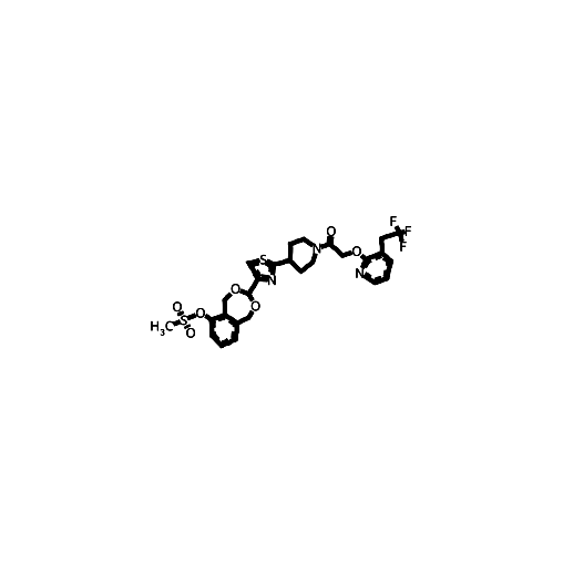 CS(=O)(=O)Oc1cccc2c1COC(c1csc(C3CCN(C(=O)COc4ncccc4CC(F)(F)F)CC3)n1)OC2